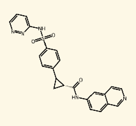 O=C(Nc1ccc2cnccc2c1)[C@@H]1CC1c1ccc(S(=O)(=O)Nc2cccnn2)cc1